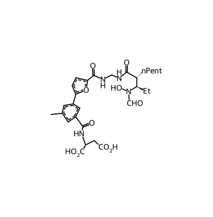 CCCCC[C@@H](C(=O)NCNC(=O)c1ccc(-c2cc(C)cc(C(=O)N[C@@H](CC(=O)O)C(=O)O)c2)o1)[C@@H](CC)N(O)C=O